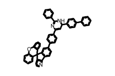 C1=C(c2ccc(-c3ccc4c(c3)C3(c5ccccc5Oc5ccccc53)c3cccnc3-4)cc2)N=C(c2ccccc2)NC1c1ccc(-c2ccccc2)cc1